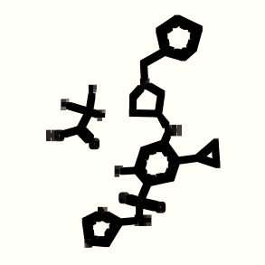 O=C(O)C(F)(F)F.O=S(=O)(Nc1cscn1)c1cc(C2CC2)c(N[C@H]2CCN(Cc3ccccc3)C2)cc1F